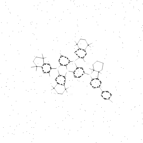 Cc1cc2c3c(c1)N(c1cc4c(cc1C)C(C)(C)CCC4(C)C)c1cc4c(cc1B3c1ccc(N3c5ccc(-c6ccc(C(C)(C)C)cc6)cc5C5(C)CCCCC35C)cc1N2c1cc2c(cc1C)C(C)(C)CCC2(C)C)C(C)(C)CCC4(C)C